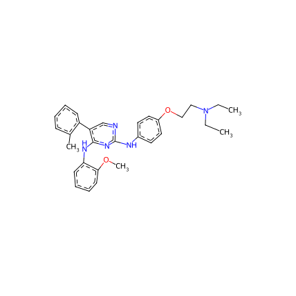 CCN(CC)CCOc1ccc(Nc2ncc(-c3ccccc3C)c(Nc3ccccc3OC)n2)cc1